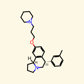 Cc1cccc([C@@H]2CN3CCC[C@@H]3c3cc(OCCCN4CCCCC4)ccc32)c1